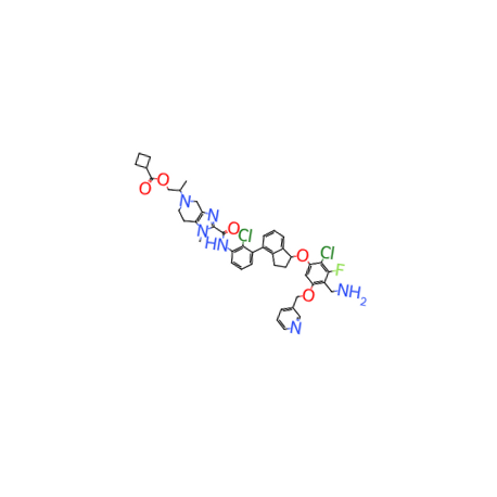 CC(COC(=O)C1CCC1)N1CCc2c(nc(C(=O)Nc3cccc(-c4cccc5c4CCC5Oc4cc(OCc5cccnc5)c(CN)c(F)c4Cl)c3Cl)n2C)C1